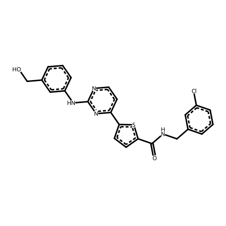 O=C(NCc1cccc(Cl)c1)c1ccc(-c2ccnc(Nc3cccc(CO)c3)n2)s1